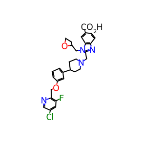 O=C(O)c1ccc2nc(CN3CCC(c4cccc(OCc5ncc(Cl)cc5F)c4)CC3)n(CC3CCO3)c2c1